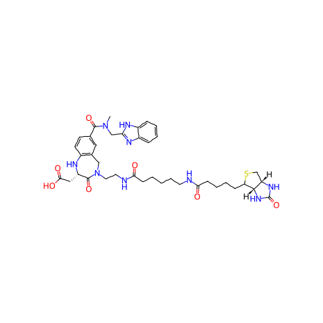 CN(Cc1nc2ccccc2[nH]1)C(=O)c1ccc2c(c1)CN(CCNC(=O)CCCCCNC(=O)CCCCC1SC[C@@H]3NC(=O)N[C@H]13)C(=O)[C@H](CC(=O)O)N2